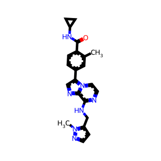 Cc1cc(-c2cnc3c(NCc4ccnn4C)nccn23)ccc1C(=O)NC1CC1